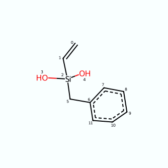 C=C[Si](O)(O)Cc1ccccc1